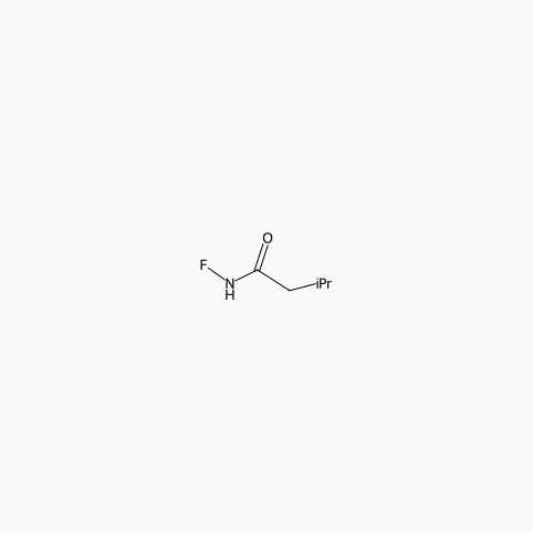 CC(C)CC(=O)NF